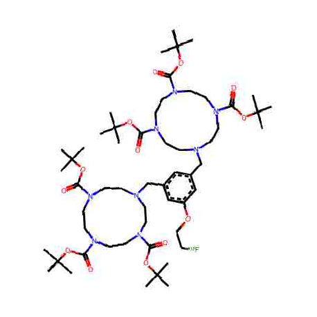 CC(C)(C)OC(=O)N1CCN(Cc2cc(CN3CCN(C(=O)OC(C)(C)C)CCN(C(=O)OC(C)(C)C)CCN(C(=O)OC(C)(C)C)CC3)cc(OCC[18F])c2)CCN(C(=O)OC(C)(C)C)CCN(C(=O)OC(C)(C)C)CC1